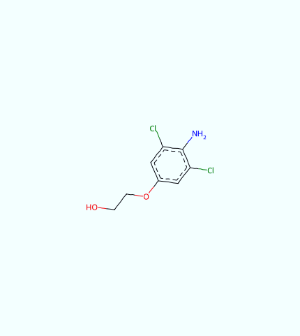 Nc1c(Cl)cc(OCCO)cc1Cl